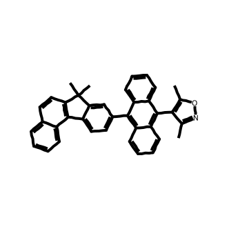 Cc1noc(C)c1-c1c2ccccc2c(-c2ccc3c(c2)C(C)(C)c2ccc4ccccc4c2-3)c2ccccc12